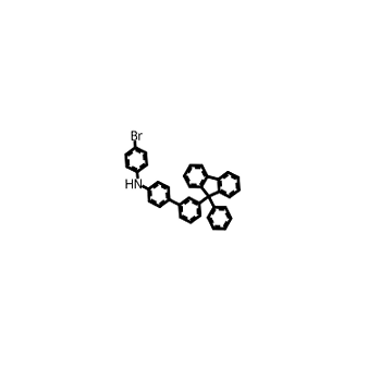 Brc1ccc(Nc2ccc(-c3cccc(C4(c5ccccc5)c5ccccc5-c5ccccc54)c3)cc2)cc1